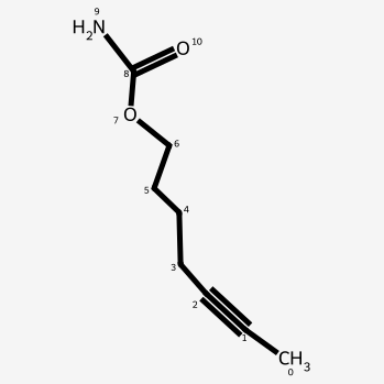 CC#CCCCCOC(N)=O